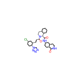 O=C(Nc1ccc2c(=O)[nH]ccc2c1)[C@@H]1c2ccccc2CCN1C(=O)C=Cc1cc(Cl)ccc1-n1cnnn1